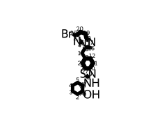 O[C@@H]1CCCC[C@H]1Nc1nc2ccc(Cc3cnc4ccc(Br)nn34)cc2s1